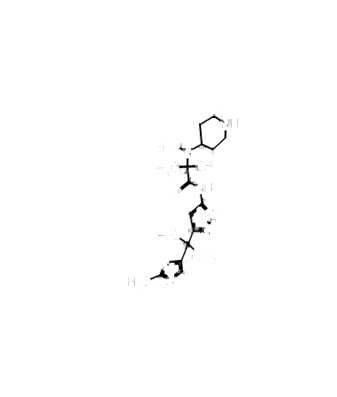 Cc1ncc(C(C)(C)c2cc(NC(=O)C(C)(C)N(C)C3CCNCC3)on2)s1